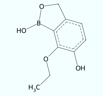 CCOc1c(O)ccc2c1B(O)OC2